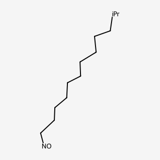 CC(C)CCCCCCCCCCN=O